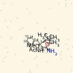 COC(C#C[Si](C)(C)C)(Cc1ccccc1)C(NC(C)=O)C(N)=O